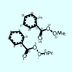 CCCOOC(=O)c1ccccc1.COOC(=O)c1ccccc1